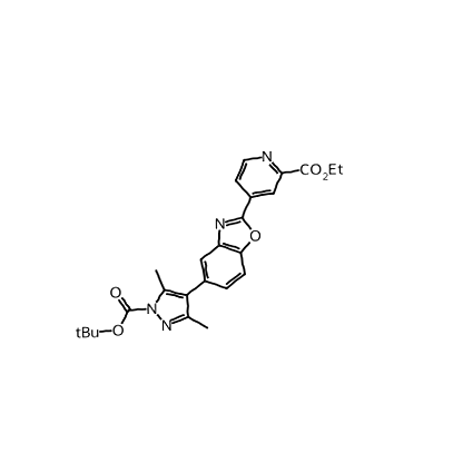 CCOC(=O)c1cc(-c2nc3cc(-c4c(C)nn(C(=O)OC(C)(C)C)c4C)ccc3o2)ccn1